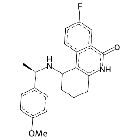 COc1ccc([C@@H](C)NC2CCCc3[nH]c(=O)c4cc(F)ccc4c32)cc1